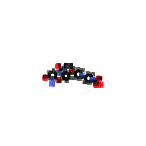 Cn1c(=O)n(C2CCC(=O)NC2=O)c2cccc(OC3CCN(C4CCN(C(=O)O)CC4)CC3)c21